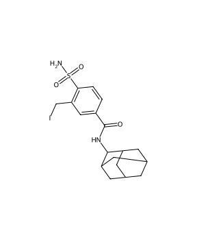 NS(=O)(=O)c1ccc(C(=O)NC2C3CC4CC(C3)CC2C4)cc1CI